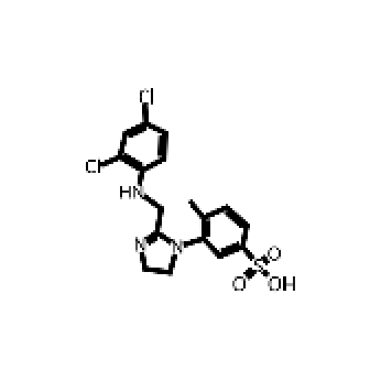 Cc1ccc(S(=O)(=O)O)cc1N1CCN=C1CNc1ccc(Cl)cc1Cl